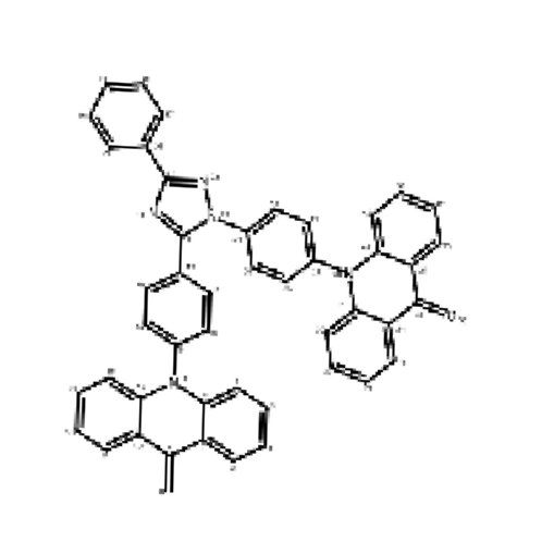 C=C1c2ccccc2N(c2ccc(-c3nc(-c4ccccc4)nn3-c3ccc(-n4c5ccccc5c(=O)c5ccccc54)cc3)cc2)c2ccccc21